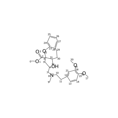 COC(=O)C1(CCCN(C)CCc2ccc(OC)c(OC)c2)Oc2ccccc2CCC1O